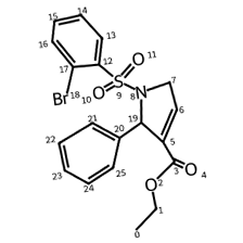 CCOC(=O)C1=CCN(S(=O)(=O)c2ccccc2Br)C1c1ccccc1